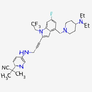 CCN(CC)C1CCN(Cc2cc(F)cc3c2cc(C#CCNc2ccc(C(C)(C)C#N)nc2)n3CC(F)(F)F)CC1